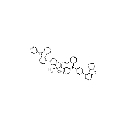 CC1(C)c2ccc(-c3ccccc3N(c3ccccc3)c3ccc(-c4cccc5oc6ccccc6c45)cc3)cc2-c2ccc(-c3cccc4c3c3ccccc3n4-c3ccccc3)cc21